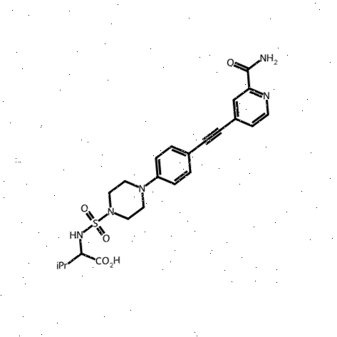 CC(C)C(NS(=O)(=O)N1CCN(c2ccc(C#Cc3ccnc(C(N)=O)c3)cc2)CC1)C(=O)O